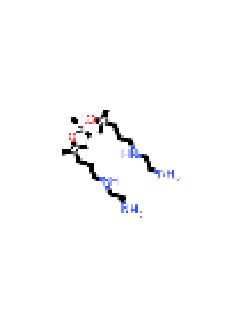 C[Si](C)(CCCNCCN)O[Si](C)(C)O[Si](C)(C)CCCNCCN